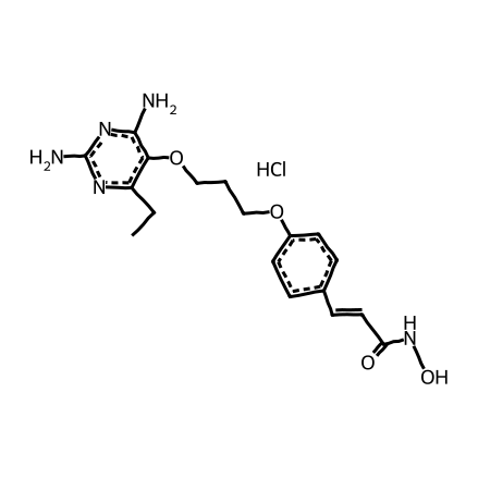 CCc1nc(N)nc(N)c1OCCCOc1ccc(/C=C/C(=O)NO)cc1.Cl